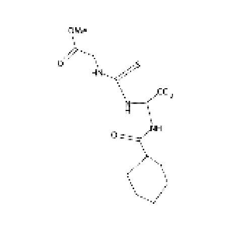 COC(=O)CNC(=S)NC(NC(=O)C1CCCCC1)C(Cl)(Cl)Cl